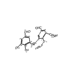 CCCCOc1c(Cl)cc(C=O)cc1OC.O=Cc1cc(O)c(O)c(Cl)c1